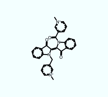 C[n+]1cccc(CN2/C(=C3\C(=O)c4ccccc4N3C(=O)c3ccc[n+](C)c3)C(=O)c3ccccc32)c1